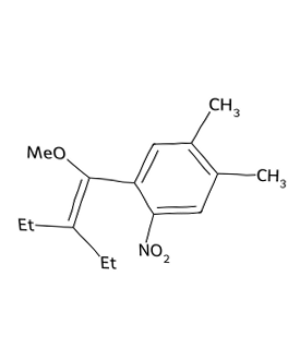 CCC(CC)=C(OC)c1cc(C)c(C)cc1[N+](=O)[O-]